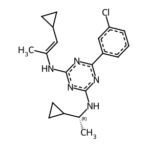 CC(=CC1CC1)Nc1nc(N[C@H](C)C2CC2)nc(-c2cccc(Cl)c2)n1